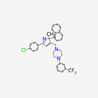 CC1(c2cccc3ccccc23)N=C(c2ccc(Cl)cc2)C=C1CN1CCN(c2cccc(C(F)(F)F)c2)CC1